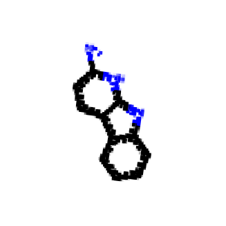 Nc1ccc2c3ccccc3nc-2[nH]1